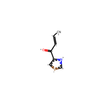 N#CC=CC(=O)c1cscn1